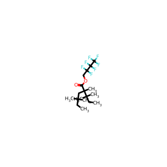 CCC(C)(C)CC(C)(C(=O)OCC(F)(F)C(F)(F)C(F)(F)F)C(C)(C)CC